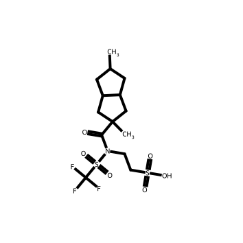 CC1CC2CC(C)(C(=O)N(CCS(=O)(=O)O)S(=O)(=O)C(F)(F)F)CC2C1